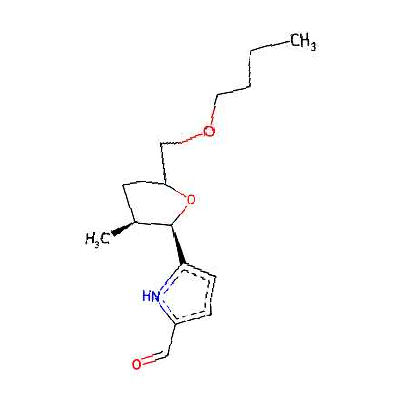 CCCCOCC1C[C@H](C)[C@H](c2ccc(C=O)[nH]2)O1